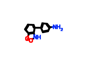 Nc1ccc(-c2cccc3c2NOO3)cc1